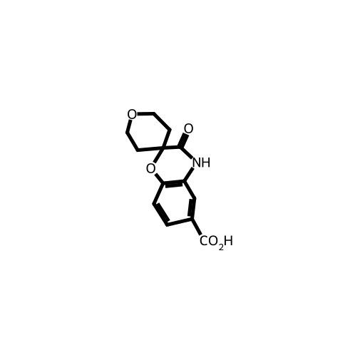 O=C(O)c1ccc2c(c1)NC(=O)C1(CCOCC1)O2